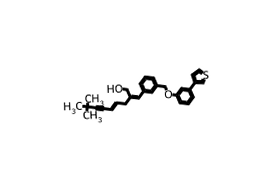 CC(C)(C)C#CC=CCC(=Cc1cccc(COc2cccc(-c3ccsc3)c2)c1)CO